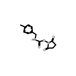 Cc1ccc(CNC(=O)ON2C(=O)CCC2=O)cc1